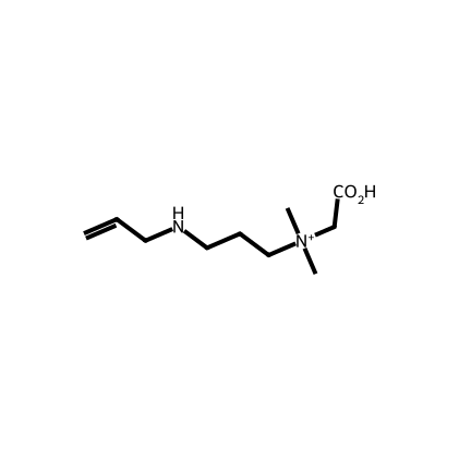 C=CCNCCC[N+](C)(C)CC(=O)O